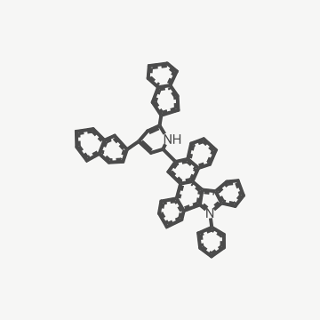 C1=C(c2ccc3ccccc3c2)C=C(c2ccc3ccccc3c2)NC1c1cc2c3ccccc3c3c(c4ccccc4n3-c3ccccc3)c2c2ccccc12